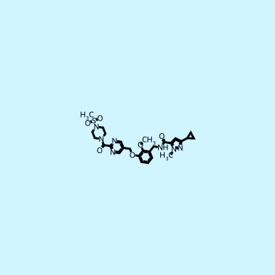 COc1c(CNC(=O)c2cc(C3CC3)nn2C)cccc1OCc1cnc(C(=O)N2CCN(S(C)(=O)=O)CC2)nc1